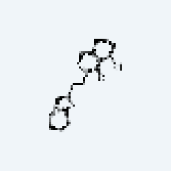 O=c1c2c(Cl)cccc2cnn1CCc1cn2ccccc2n1